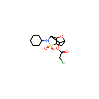 O=C(CCl)OC1C2CC3C(O2)C1N(C1CCCCC1)S3(=O)=O